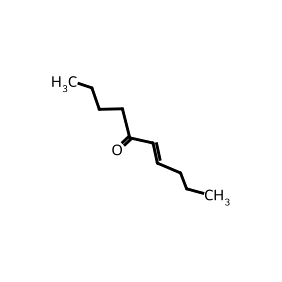 CCC/C=C/C(=O)CCCC